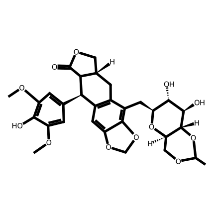 COc1cc([C@@H]2c3cc4c(c(C[C@@H]5O[C@@H]6COC(C)O[C@H]6[C@H](O)[C@H]5O)c3C[C@H]3COC(=O)C32)OCO4)cc(OC)c1O